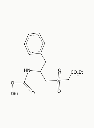 CCOC(=O)CS(=O)(=O)CC(Cc1ccccc1)NC(=O)OC(C)(C)C